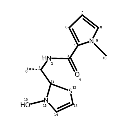 C[C@H](NC(=O)c1cccn1C)C1SC=CN1O